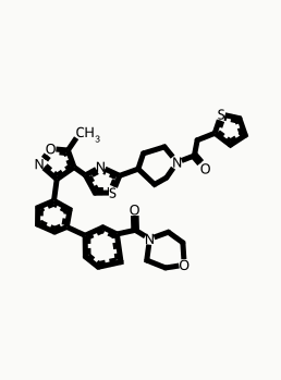 Cc1onc(-c2cccc(-c3cccc(C(=O)N4CCOCC4)c3)c2)c1-c1csc(C2CCN(C(=O)Cc3cccs3)CC2)n1